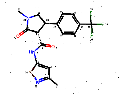 Cc1cc(NC(=O)[C@@H]2C(=O)N(C)C[C@H]2c2ccc(C(F)(F)F)cc2)sn1